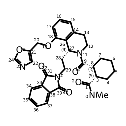 CNC(=O)[C@H]1CCCC[C@H]1C(=O)N1CCc2cccc(OCc3cnco3)c2[C@H]1CCN1C(=O)c2ccccc2C1=O